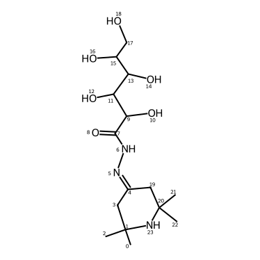 CC1(C)CC(=NNC(=O)C(O)C(O)C(O)C(O)CO)CC(C)(C)N1